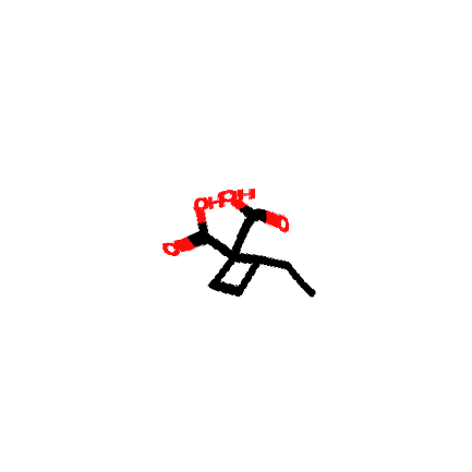 CCC1CCC1(C(=O)O)C(=O)O